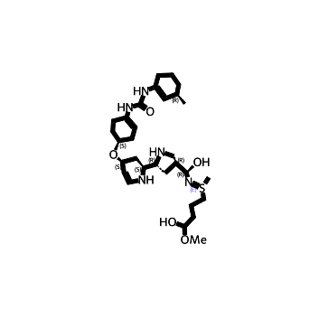 COC(O)CCC/S(C)=N/[C@H](O)[C@H]1CN[C@@H]([C@@H]2C[C@H](O[C@@H]3CC=C(NC(=O)NC4=C[C@H](C)CCC4)CC3)C=CN2)C1